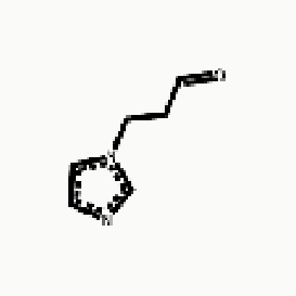 O=CCCn1ccnc1